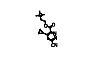 C[Si](C)(C)CCOC(=O)c1nnc(C#N)cc1C1CC1